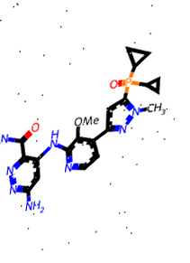 COc1c(-c2cc(P(=O)(C3CC3)C3CC3)n(C)n2)ccnc1Nc1cc(N)nnc1C(N)=O